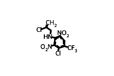 C=C(Cl)CNc1c([N+](=O)[O-])cc(C(F)(F)F)c(Cl)c1[N+](=O)[O-]